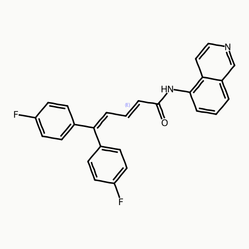 O=C(/C=C/C=C(c1ccc(F)cc1)c1ccc(F)cc1)Nc1cccc2cnccc12